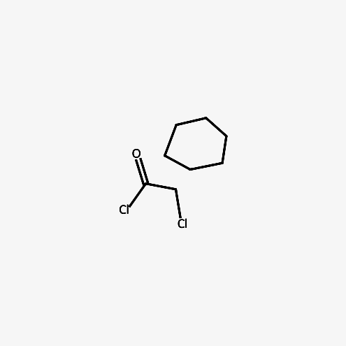 C1CCCCC1.O=C(Cl)CCl